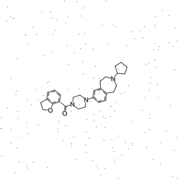 O=C(c1cccc2c1OCC2)N1CCN(c2ccc3c(c2)CCN(C2CCCC2)CC3)CC1